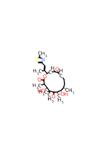 C/C(=C\c1csc(C)n1)C1C[C@@H]2O[C@@H]2CCC[C@H](C)[C@H](O)[C@@H](C)C(=O)C(C)(C)[C@@H](O)C(C)C(=O)O1